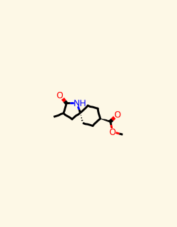 COC(=O)[C@H]1CC[C@]2(CC1)CC(C)C(=O)N2